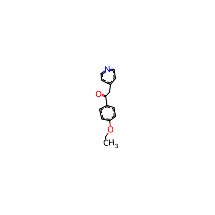 CCOc1ccc(C(=O)Cc2ccncc2)cc1